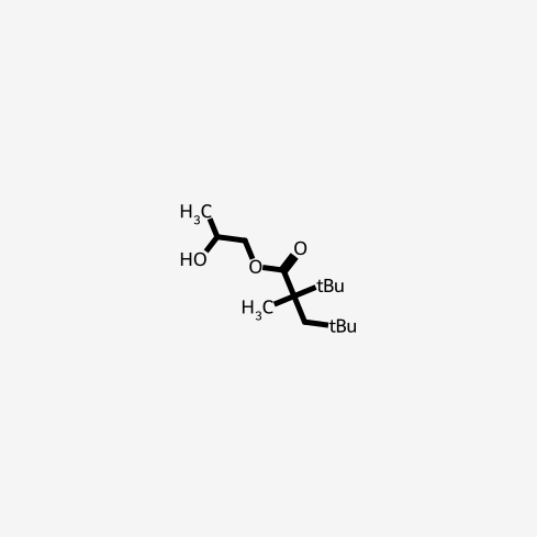 CC(O)COC(=O)C(C)(CC(C)(C)C)C(C)(C)C